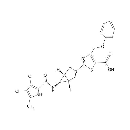 Cc1[nH]c(C(=O)N[C@H]2[C@@H]3CN(c4nc(COc5ccccc5)c(C(=O)O)s4)C[C@@H]32)c(Cl)c1Cl